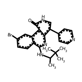 CC(Nc1nc2c(-c3ccncc3)c[nH]c(=O)c2c2cc(Br)ccc12)C(C)(C)C